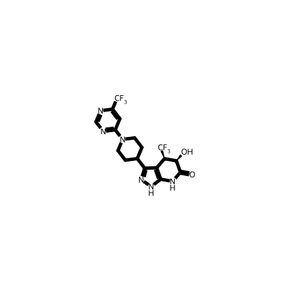 O=C1Nc2[nH]nc(C3CCN(c4cc(C(F)(F)F)ncn4)CC3)c2[C@@H](C(F)(F)F)[C@H]1O